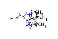 CCCCN(C)C(=NC)N(C(C)C)C(C)C